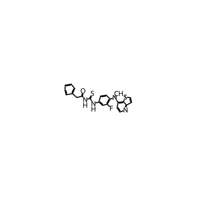 CN(c1ccc(NC(=S)NC(=O)Cc2ccccc2)cc1F)c1ccnc2ccsc12